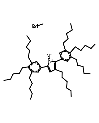 CCCCCCC1=C(c2cc(CCCCC)c(CCCCC)c(CCCCC)c2)[N+](=[N-])C(c2cc(CCCCC)c(CCCCC)c(CCCCC)c2)=C1.[CH3][Pd][CH3]